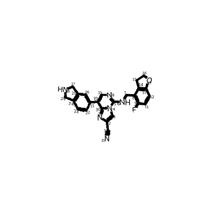 N#Cc1cn2c(NCc3c(F)ccc4c3CCO4)ncc(-c3ccc4c(c3)CNC4)c2n1